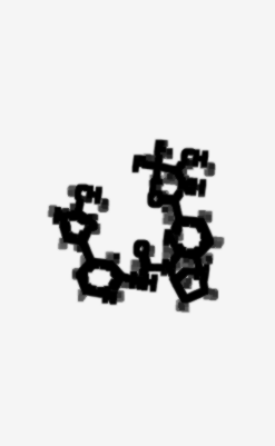 Cc1ncc(-c2ccnc(NC(=O)N3c4nc(C(=O)N[C@H](C)C(F)(F)F)ccc4N4CCC3C4)c2)s1